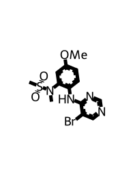 COc1ccc(Nc2ncncc2Br)c(N(C)S(C)(=O)=O)c1